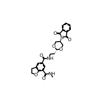 CNC(=O)c1cc(C(=O)NCC[C@H]2OC[C@H](N3C(=O)c4ccccc4C3=O)CO2)cc2c1OCC2